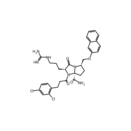 N=C(N)NCCC[C@H]1C(=O)N2[C@@H](COc3ccc4ccccc4c3)CC[C@@]2(C(N)=O)N1C(=O)[CH]Cc1ccc(Cl)cc1Cl